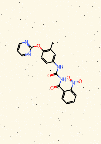 Cc1cc(NC(=O)NC(=O)c2ccccc2[N+](=O)[O-])ccc1Oc1ncccn1